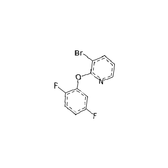 Fc1ccc(F)c(Oc2ncccc2Br)c1